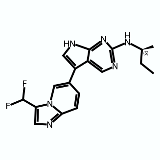 CC[C@H](C)Nc1ncc2c(-c3ccc4ncc(C(F)F)n4c3)c[nH]c2n1